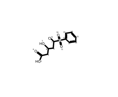 O=C(O)CC(O)CC(Cl)S(=O)(=O)c1ccccc1